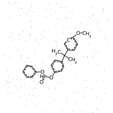 COc1ccc(C(C)(C)c2ccc(O[PH](=O)Oc3ccccc3)cc2)cc1